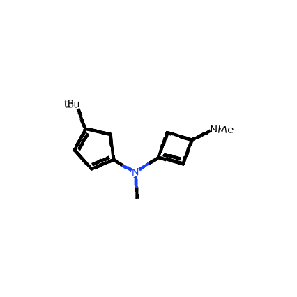 CNC1C=C(N(C)C2=CC=C(C(C)(C)C)C2)C1